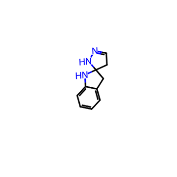 C1=NNC2(C1)Cc1ccccc1N2